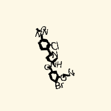 Cc1nc(-c2ccc(-c3ccc(NC(=O)c4ccc(Br)c(OCCN(C)C)c4)cn3)c(Cl)c2)no1